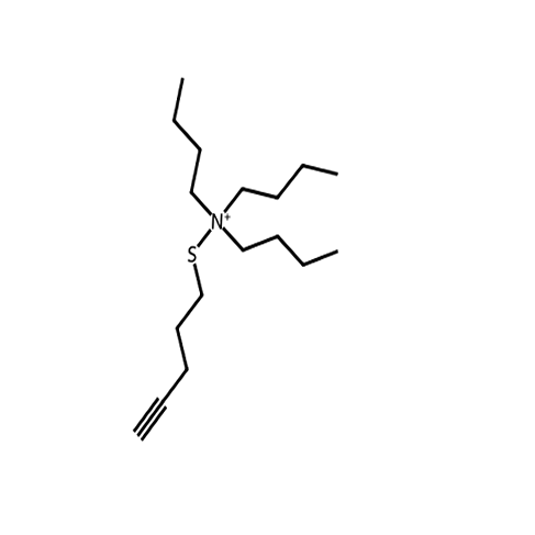 C#CCCCS[N+](CCCC)(CCCC)CCCC